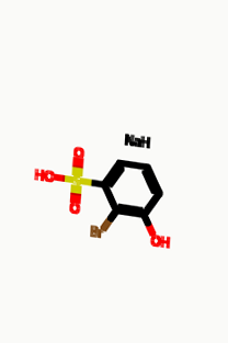 O=S(=O)(O)c1cccc(O)c1Br.[NaH]